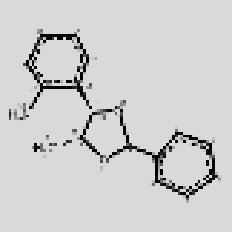 [CH2][C@H]1OC(c2ccccc2)O[C@@H]1c1ccccc1N